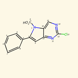 O=C(O)n1c(-c2ccccc2)cc2nc(Cl)ncc21